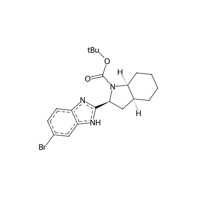 CC(C)(C)OC(=O)N1[C@H](c2nc3ccc(Br)cc3[nH]2)C[C@@H]2CCCC[C@@H]21